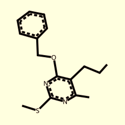 CCCc1c(C)nc(SC)nc1OCc1ccccc1